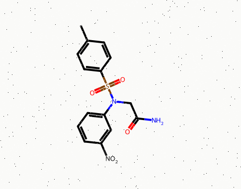 Cc1ccc(S(=O)(=O)N(CC(N)=O)c2cccc([N+](=O)[O-])c2)cc1